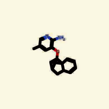 Cc1cnc(N)c(OC2=CC3CC4C=CC=CC24C3)c1